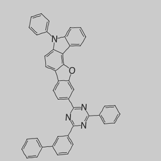 c1ccc(-c2cccc(-c3nc(-c4ccccc4)nc(-c4ccc5c(c4)oc4c5ccc5c4c4ccccc4n5-c4ccccc4)n3)c2)cc1